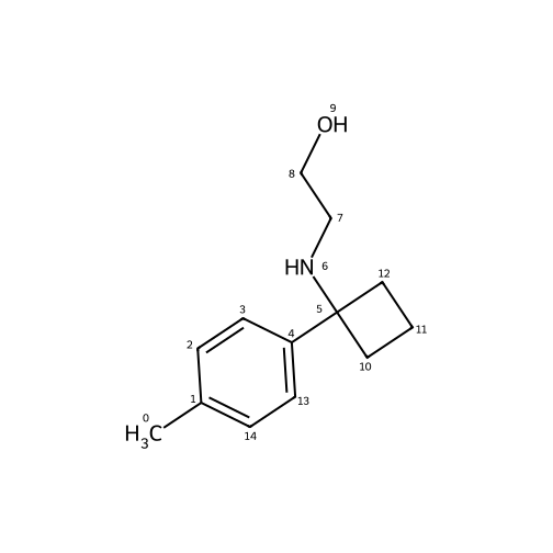 Cc1ccc(C2(NCCO)CCC2)cc1